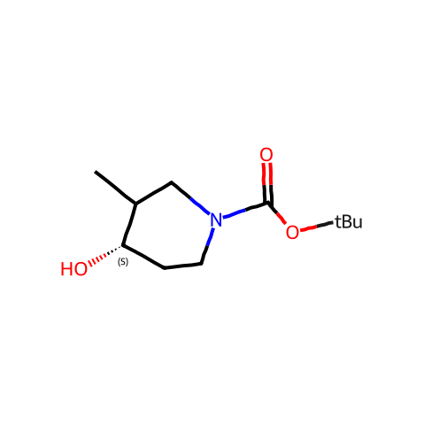 CC1CN(C(=O)OC(C)(C)C)CC[C@@H]1O